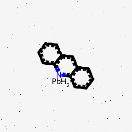 [PbH2].c1ccc2nc3ccccc3cc2c1